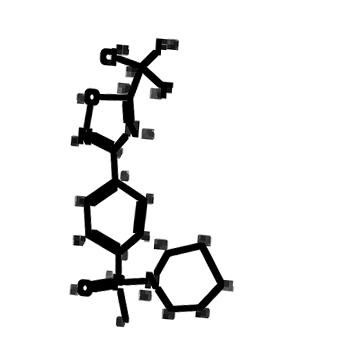 CP(=O)(c1ccc(-c2noc(C(F)(F)Cl)n2)cc1)N1CCCCC1